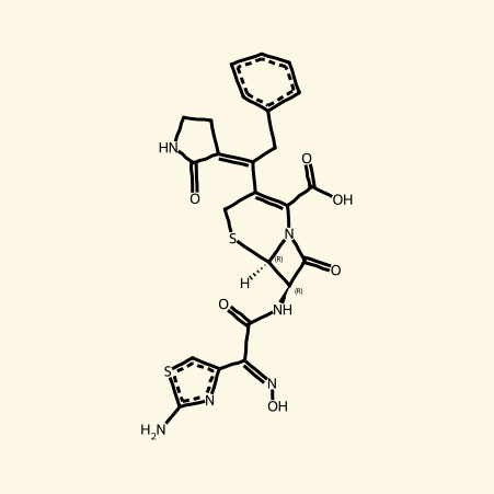 Nc1nc(C(=NO)C(=O)N[C@@H]2C(=O)N3C(C(=O)O)=C(C(Cc4ccccc4)=C4CCNC4=O)CS[C@H]23)cs1